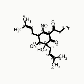 CC(C)=CCC1C(N=O)=C(C(=O)CC(C)C)C(=O)[C@](O)(CC=C(C)C)C1N=O